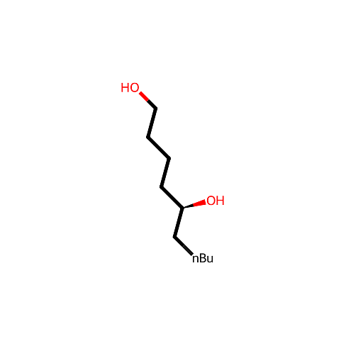 CCCCC[C@H](O)CCCCO